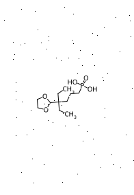 CCC(CC)(CCCP(=O)(O)O)C1OCCO1